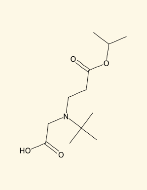 CC(C)OC(=O)CCN(CC(=O)O)C(C)(C)C